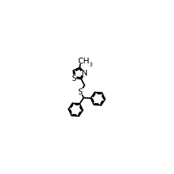 Cc1csc(CSC(c2ccccc2)c2ccccc2)n1